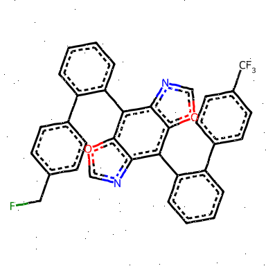 FCc1ccc(-c2ccccc2-c2c3ncoc3c(-c3ccccc3-c3ccc(C(F)(F)F)cc3)c3ncoc23)cc1